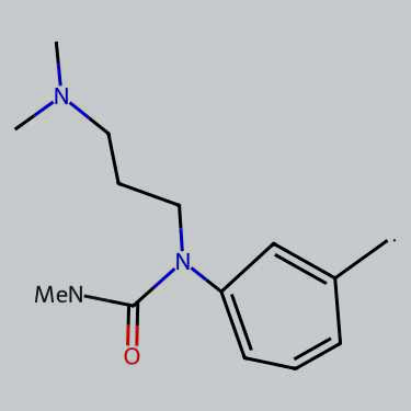 [CH2]c1cccc(N(CCCN(C)C)C(=O)NC)c1